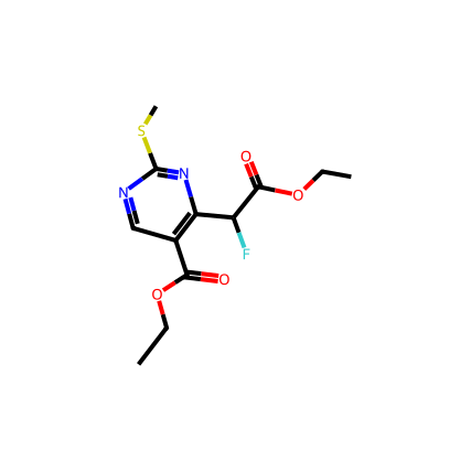 CCOC(=O)c1cnc(SC)nc1C(F)C(=O)OCC